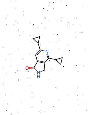 O=C1NCc2c1cc(C1CC1)nc2C1CC1